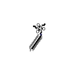 C=CCn1c(=O)n(CC=C)c(=O)n(C/C=C/C(F)(F)C(F)(F)C(F)(F)C(F)(F)C(F)(F)C(F)(F)C(F)(F)C(F)(F)F)c1=O